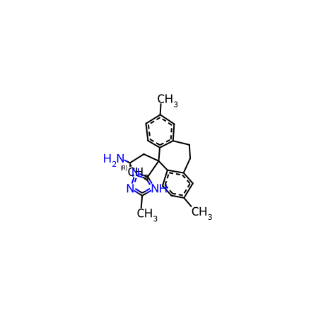 Cc1ccc2c(c1)CCc1cc(C)ccc1C2(C[C@@H](C)N)c1nnc(C)[nH]1